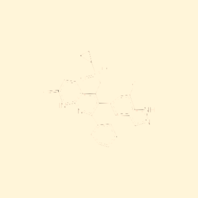 O=c1ccc2c(CS(=O)(=O)C3CC3)c(-c3cc(Cl)c4[nH]ncc4c3)c(-c3ccccc3)nc2[nH]1